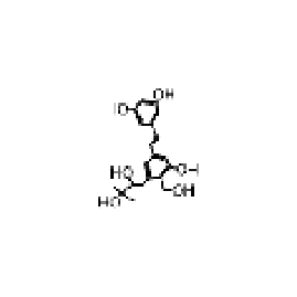 CC(C)(O)C(O)Cc1cc(/C=C/c2cc(O)cc(O)c2)cc(O)c1CO